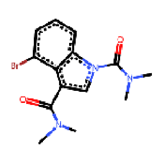 CN(C)C(=O)c1cn(C(=O)N(C)C)c2cccc(Br)c12